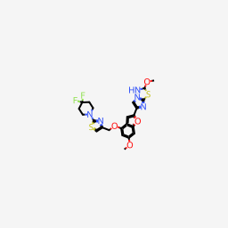 COc1cc(OCc2csc(N3CCC(F)(F)CC3)n2)c2cc(-c3cn4c(n3)SC(OC)N4)oc2c1